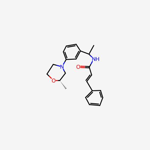 CC(NC(=O)C=Cc1ccccc1)c1cccc(N2CCO[C@@H](C)C2)c1